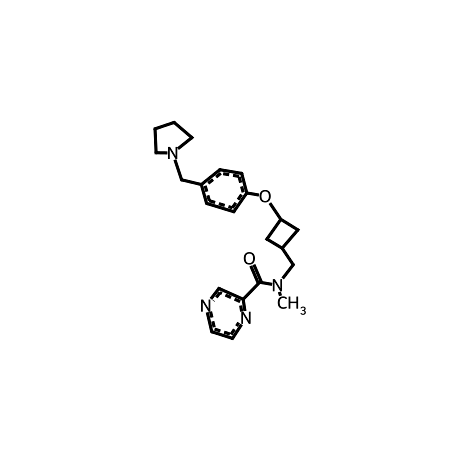 CN(CC1CC(Oc2ccc(CN3CCCC3)cc2)C1)C(=O)c1cnccn1